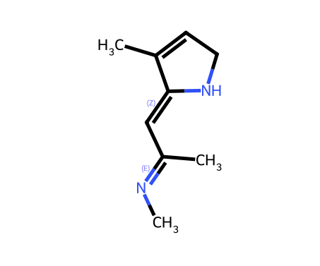 C/N=C(C)/C=C1\NCC=C1C